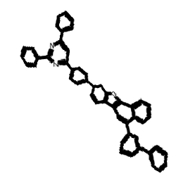 C1=CC(c2ccc(-c3cc(-c4ccccc4)nc(-c4ccccc4)n3)cc2)Cc2oc3c(cc(-c4cccc(-c5ccccc5)c4)c4ccccc43)c21